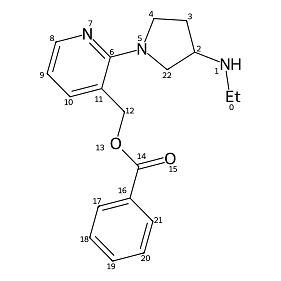 CCNC1CCN(c2ncccc2COC(=O)c2ccccc2)C1